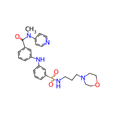 CN(C(=O)c1cccc(Nc2cccc(S(=O)(=O)NCCCN3CCOCC3)c2)c1)c1ccncc1